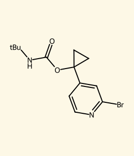 CC(C)(C)NC(=O)OC1(c2ccnc(Br)c2)CC1